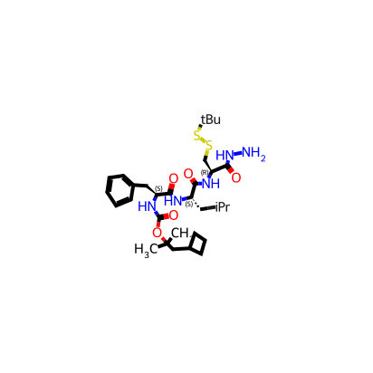 CC(C)C[C@H](NC(=O)[C@H](Cc1ccccc1)NC(=O)OC(C)(C)CC1CCC1)C(=O)N[C@@H](CSSC(C)(C)C)C(=O)NN